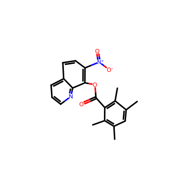 Cc1cc(C)c(C)c(C(=O)Oc2c([N+](=O)[O-])ccc3cccnc23)c1C